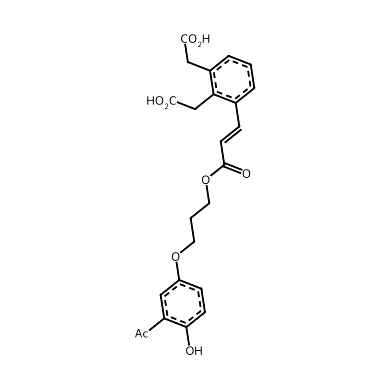 CC(=O)c1cc(OCCCOC(=O)C=Cc2cccc(CC(=O)O)c2CC(=O)O)ccc1O